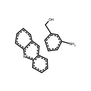 Nc1cccc(CO)c1.c1ccc2nc3ccccc3cc2c1